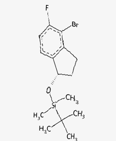 CC(C)(C)[Si](C)(C)O[C@H]1CCc2c1ccc(F)c2Br